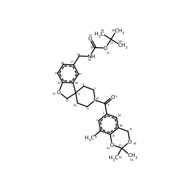 Cc1cc(C(=O)N2CCC3(CC2)COc2ccc(CNC(=O)OC(C)(C)C)cc23)cc2c1OC(C)(C)OC2